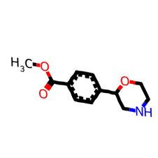 COC(=O)c1ccc(C2CNCCO2)cc1